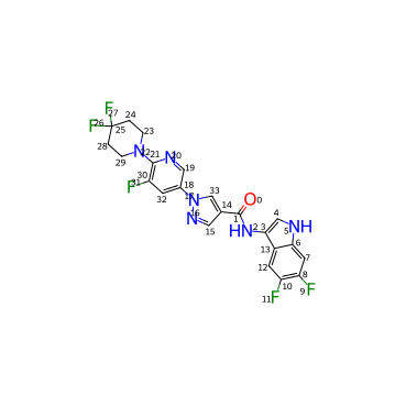 O=C(Nc1c[nH]c2cc(F)c(F)cc12)c1cnn(-c2cnc(N3CCC(F)(F)CC3)c(F)c2)c1